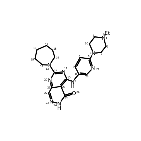 CCN1CCN(c2ccc(Nc3nc(N4CCCCCC4)nc4cn[nH]c(=O)c34)cn2)CC1